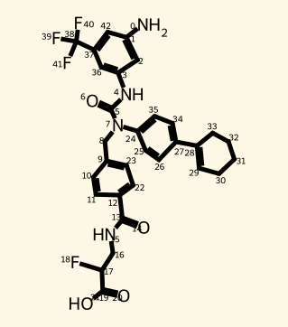 Nc1cc(NC(=O)N(Cc2ccc(C(=O)NCC(F)C(=O)O)cc2)c2ccc(C3=CCCCC3)cc2)cc(C(F)(F)F)c1